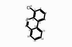 Clc1cccc2c1pcc1ccccc12